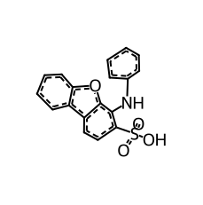 O=S(=O)(O)c1ccc2c(oc3ccccc32)c1Nc1ccccc1